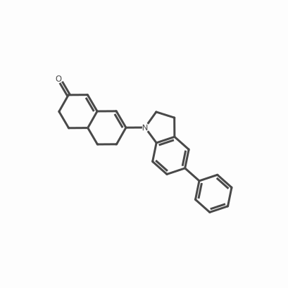 O=C1C=C2C=C(N3CCc4cc(-c5ccccc5)ccc43)CCC2CC1